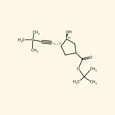 CC(C)(C)OC(=O)N1C[C@H](O)[C@@H](C#C[Si](C)(C)C)C1